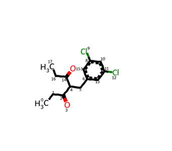 CCC(=O)C(Cc1cc(Cl)cc(Cl)c1)C(=O)CC